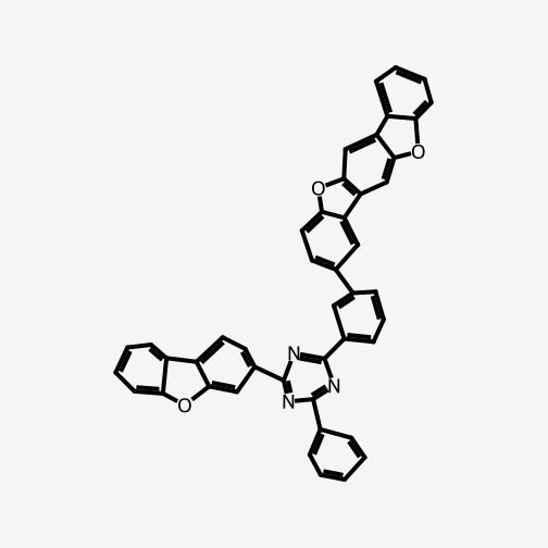 c1ccc(-c2nc(-c3cccc(-c4ccc5oc6cc7c(cc6c5c4)oc4ccccc47)c3)nc(-c3ccc4c(c3)oc3ccccc34)n2)cc1